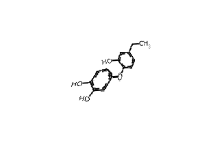 CCc1ccc(Oc2ccc(O)c(O)c2)c(O)c1